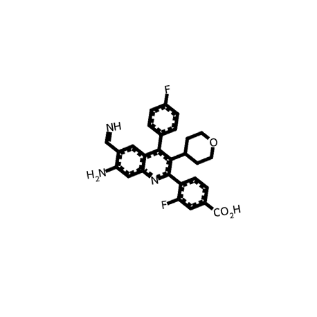 N=Cc1cc2c(-c3ccc(F)cc3)c(C3CCOCC3)c(-c3ccc(C(=O)O)cc3F)nc2cc1N